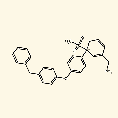 CS(=O)(=O)[N+]1(c2ccc(Oc3ccc(Cc4ccccc4)cc3)cc2)C=C(CN)C=CC1